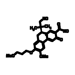 COCCCOc1cc2c(cc1OC)-c1cc(=O)c(C(=O)N=O)cn1[C@@H](C(C)(C)CN=O)C2